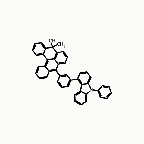 CC1(C)c2ccccc2-c2c3ccccc3c(-c3cccc(-c4cccc5c4c4ccccc4n5-c4ccccc4)c3)c3cccc1c23